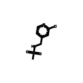 CS(=O)(=O)NCc1ccnc(Cl)c1